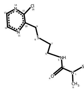 CN(S)C(=O)NCCSCc1nccnc1Cl